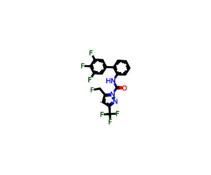 O=C(Nc1ccccc1-c1cc(F)c(F)c(F)c1)n1nc(C(F)(F)F)[c]c1CF